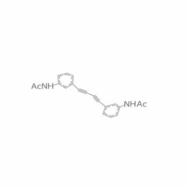 CC(=O)Nc1cccc(C#CC#Cc2cccc(NC(C)=O)c2)c1